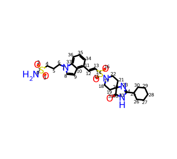 NS(=O)(=O)CCCn1ccc2c(C=CS(=O)(=O)N3CCC4(CC3)N=C(C3CCCCC3)NC4=O)cccc21